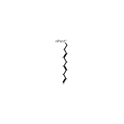 [CH2]CCCCCC/C=C/C/C=C/CC=C